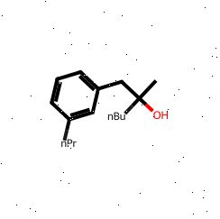 C[CH]Cc1cccc(CC(C)(O)CCCC)c1